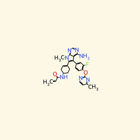 C=CC(=O)N[C@H]1CC=C(c2c(-c3ccc(Oc4nccc(C)n4)c(F)c3)c3c(N)ncnc3n2C)CC1